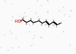 C/C=C/C=C/CCCCCCO